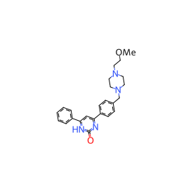 COCCN1CCN(Cc2ccc(-c3cc(-c4ccccc4)[nH]c(=O)n3)cc2)CC1